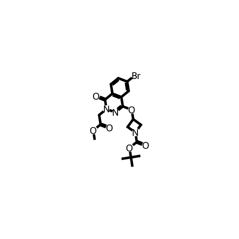 COC(=O)Cn1nc(OC2CN(C(=O)OC(C)(C)C)C2)c2cc(Br)ccc2c1=O